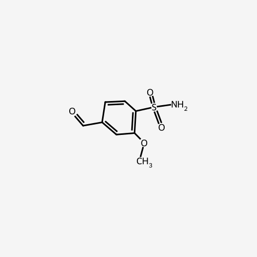 COc1cc(C=O)ccc1S(N)(=O)=O